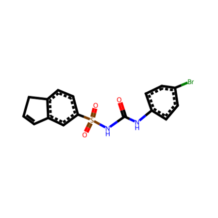 O=C(Nc1ccc(Br)cc1)NS(=O)(=O)c1ccc2c(c1)C=CC2